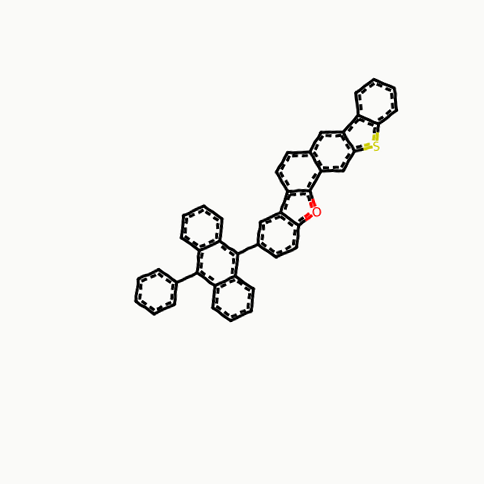 c1ccc(-c2c3ccccc3c(-c3ccc4oc5c6cc7sc8ccccc8c7cc6ccc5c4c3)c3ccccc23)cc1